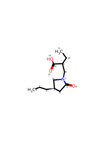 CCC[C@@H]1CC(=O)N(CC(CC)C(=O)O)C1